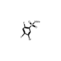 CNS(=O)(=O)c1cc(Br)c(F)cc1F